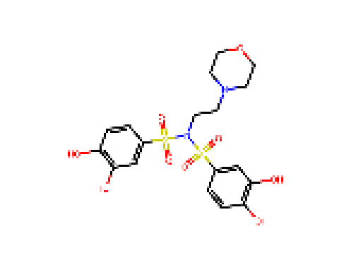 O=S(=O)(c1ccc(O)c(O)c1)N(CCN1CCOCC1)S(=O)(=O)c1ccc(O)c(O)c1